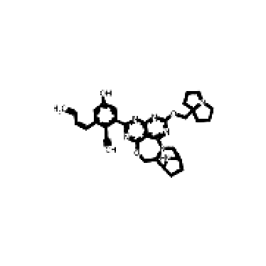 C#Cc1c(/C=C\C=C)cc(O)cc1-c1nc2c3c(nc(OCC45CCCN4CCC5)nc3n1)N1CC3CCC(N3)C1CO2